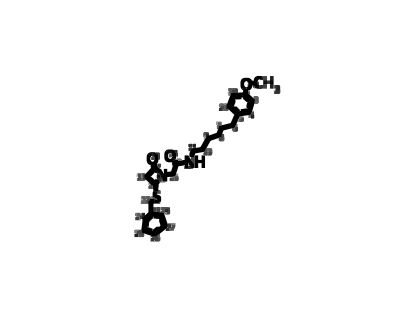 COc1ccc(CCCCCCNC(=O)CN2C(=O)CC2SCc2ccccc2)cc1